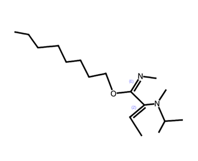 C/C=C(/C(=N\C)OCCCCCCCC)N(C)C(C)C